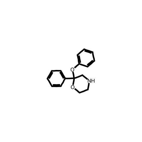 c1ccc(OC2(c3ccccc3)CNCCO2)cc1